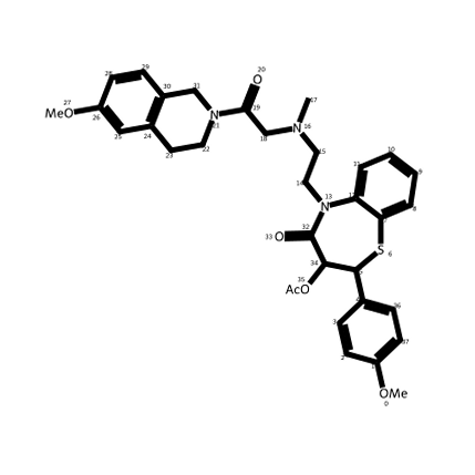 COc1ccc(C2Sc3ccccc3N(CCN(C)CC(=O)N3CCc4cc(OC)ccc4C3)C(=O)C2OC(C)=O)cc1